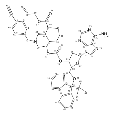 C#Cc1ccc(CN(CCOC(=O)OC2CC(n3cnc4c(N)ncnc43)OC2CO[Si](c2ccccc2)(c2ccccc2)C(C)(C)C)C[C@@H]2CCCCN2C(=O)OCC=C)cc1